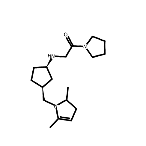 CC1=CCC(C)N1C[C@H]1CC[C@@H](NCC(=O)N2CCCC2)C1